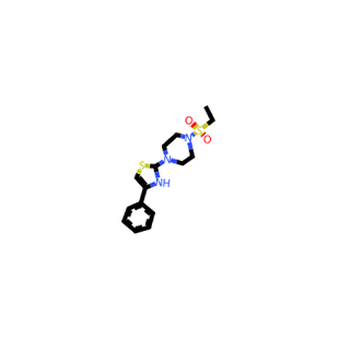 CCS(=O)(=O)N1CCN(C2NC(c3ccccc3)=CS2)CC1